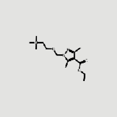 CCOC(=O)c1c(C)nn(COCC[Si](C)(C)C)c1C